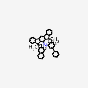 CC1(C)c2ccccc2-c2cc3c(c(N(c4cccc(-c5ccccc5)c4)c4ccc5ccccc5c4)c21)C(C)(C)c1ccccc1-3